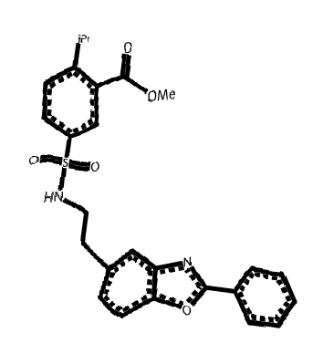 COC(=O)c1cc(S(=O)(=O)NCCc2ccc3oc(-c4ccccc4)nc3c2)ccc1C(C)C